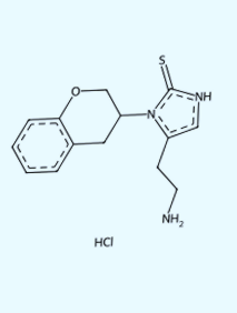 Cl.NCCc1c[nH]c(=S)n1C1COc2ccccc2C1